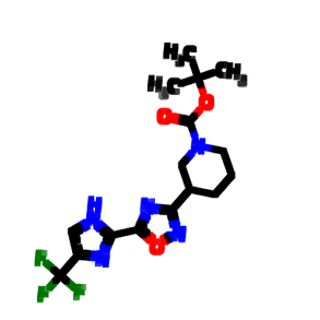 CC(C)(C)OC(=O)N1CCCC(c2noc(-c3nc(C(F)(F)F)c[nH]3)n2)C1